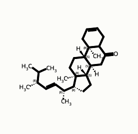 CC(C)[C@@H](C)C=C[C@@H](C)[C@H]1CC[C@H]2[C@@H]3CC(=O)C4CC=CC[C@]4(C)[C@H]3CC[C@]12C